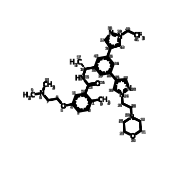 Cc1ccc(OCCN(C)C)cc1C(=O)N[C@H](C)c1cc(-c2cnn(CCN3CCOCC3)c2)cc(-c2cnn(CC(F)(F)F)c2)c1